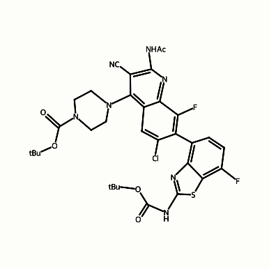 CC(=O)Nc1nc2c(F)c(-c3ccc(F)c4sc(NC(=O)OC(C)(C)C)nc34)c(Cl)cc2c(N2CCN(C(=O)OC(C)(C)C)CC2)c1C#N